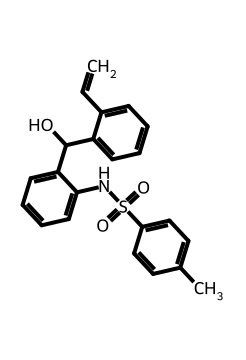 C=Cc1ccccc1C(O)c1ccccc1NS(=O)(=O)c1ccc(C)cc1